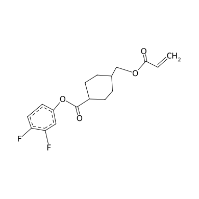 C=CC(=O)OCC1CCC(C(=O)Oc2ccc(F)c(F)c2)CC1